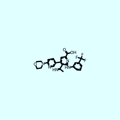 CC(=N)c1c(-c2ccc(N3CCOCC3)nc2)cc(C(=O)O)nc1Nc1cccc(C(F)(F)F)c1